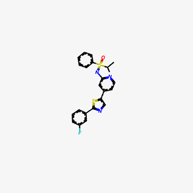 CC(C)S(=O)(=Nc1cc(-c2cnc(-c3cccc(F)c3)s2)ccn1)c1ccccc1